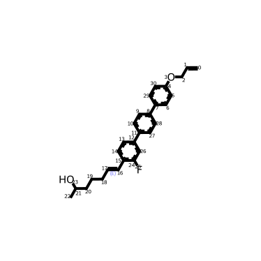 C=CCOc1ccc(-c2ccc(-c3ccc(/C=C/CCCC(C)O)c(F)c3)cc2)cc1